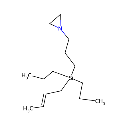 CC=CC[Si](CCC)(CCC)CCCN1CC1